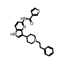 O=C(Nc1ccc2[nH]cc(C3CCN(CCc4ccccc4)CC3)c2n1)c1ccsc1